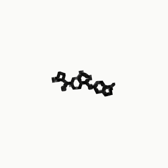 Cn1ccc2cc(Oc3ncnc4c3CCN(C(=O)C3CCN3)C4)ccc21